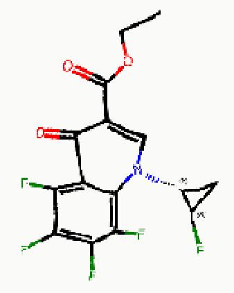 CCOC(=O)c1cn([C@@H]2C[C@H]2F)c2c(F)c(F)c(F)c(F)c2c1=O